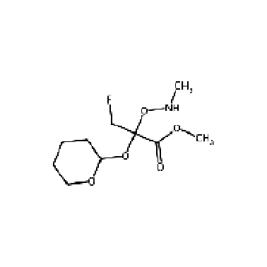 CNOC(CF)(OC1CCCCO1)C(=O)OC